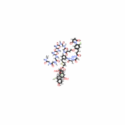 CC(=O)CN(C)C(=O)CN(C)C(=O)CN(C)C(=O)CN(C)C(=O)CN(C)C(=O)CN(C)C(=O)CN(C)C(=O)CN(C)C(=O)CN(C)C(=O)CN(C)C(=O)CCCOc1cc(N2C(=O)C=CC2=O)c(F)cc1CCC(=O)N[C@@H](C)C(=O)N[C@@H](C)C(=O)Nc1cccc(Cc2ccc([C@@H]3O[C@@H]4C[C@H]5[C@@H]6C[C@H](F)C7=CC(=O)C=C[C@]7(C)[C@@]6(F)[C@@H](O)C[C@]5(C)[C@]4(C(=O)CO)O3)s2)c1